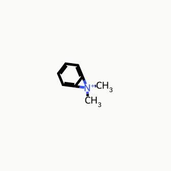 C[N+]1(C)c2ccccc21